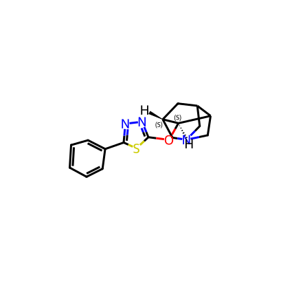 c1ccc(-c2nnc(O[C@@H]3C4CN5CC4C[C@H]3C5)s2)cc1